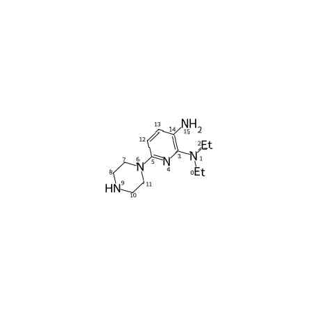 CCN(CC)c1nc(N2CCNCC2)ccc1N